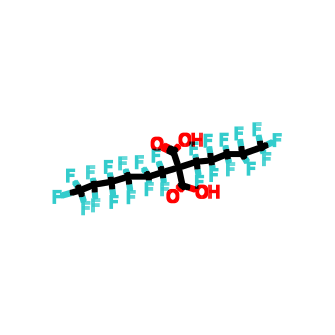 O=C(O)C(C(=O)O)(C(F)(F)C(F)(F)C(F)(F)C(F)(F)C(F)(F)F)C(F)(F)C(F)(F)C(F)(F)C(F)(F)C(F)(F)C(F)(F)F